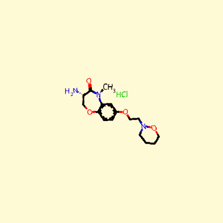 CN1C(=O)[C@@H](N)COc2ccc(OCCN3CCCCO3)cc21.Cl